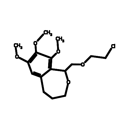 COc1cc2c(c(OC)c1OC)C(COCCCl)OCCC2